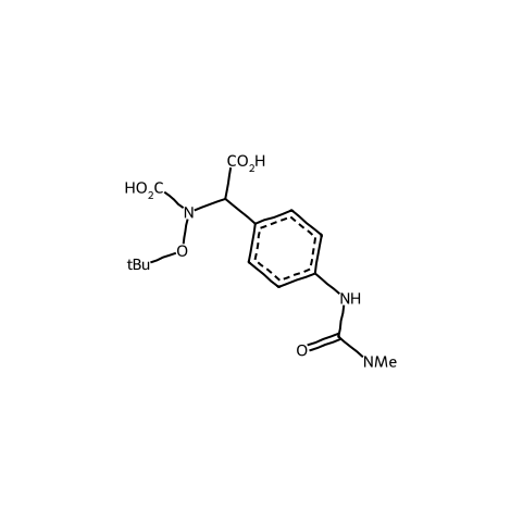 CNC(=O)Nc1ccc(C(C(=O)O)N(OC(C)(C)C)C(=O)O)cc1